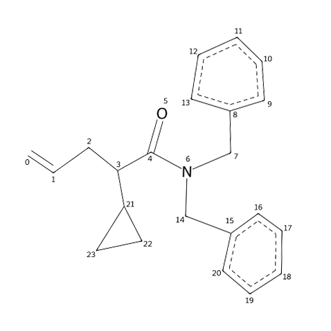 C=CCC(C(=O)N(Cc1ccccc1)Cc1ccccc1)C1CC1